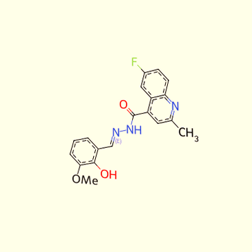 COc1cccc(/C=N/NC(=O)c2cc(C)nc3ccc(F)cc23)c1O